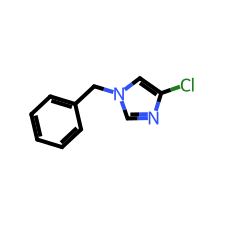 Clc1cn(Cc2ccccc2)cn1